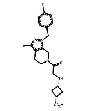 Cc1nn(Cc2ccc(F)cc2)c2c1CCN(C(=O)CN[C@H]1C[C@@H](C(=O)O)C1)C2